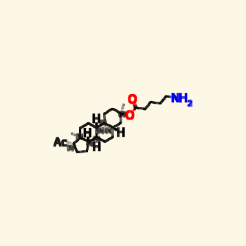 CC(=O)[C@H]1CC[C@H]2[C@@H]3CC[C@H]4C[C@](C)(OC(=O)CCCCN)CC[C@]4(C)[C@H]3CC[C@]12C